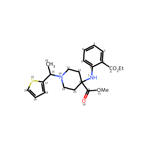 CCOC(=O)c1ccccc1NC1(C(=O)OC)CCN(C(C)c2cccs2)CC1